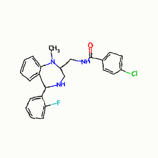 CN1c2ccccc2C(c2ccccc2F)NCC1CNC(=O)c1ccc(Cl)cc1